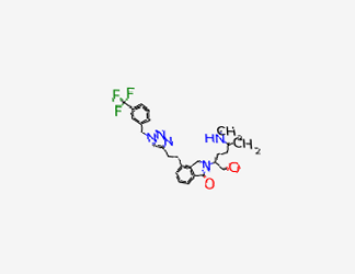 C=C(CCC(C=O)N1Cc2c(CCc3cn(Cc4cccc(C(F)(F)F)c4)nn3)cccc2C1=O)NC